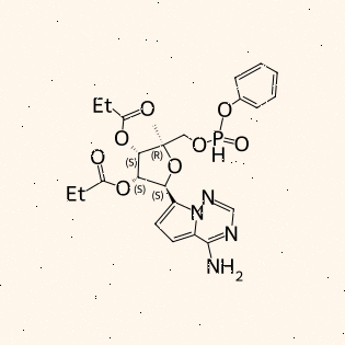 CCC(=O)O[C@H]1[C@H](c2ccc3c(N)ncnn23)O[C@](C)(CO[PH](=O)Oc2ccccc2)[C@H]1OC(=O)CC